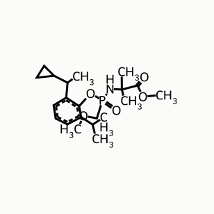 COCP(=O)(NC(C)(C)C(=O)OC)Oc1c(C(C)C)cccc1C(C)C1CC1